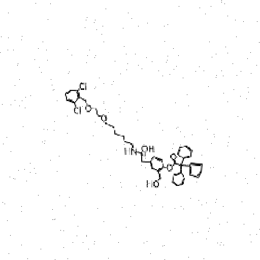 O=C(Oc1ccc(C[C@H](O)NCCCCCCOCCOCc2c(Cl)cccc2Cl)cc1CO)C(c1ccccc1)(c1ccccc1)c1ccccc1